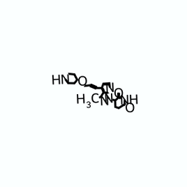 Cc1nn(C2CCC(=O)NC2=O)c2nccc(C#CCOC3CCNCC3)c12